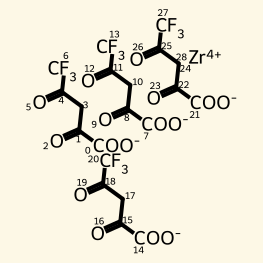 O=C([O-])C(=O)CC(=O)C(F)(F)F.O=C([O-])C(=O)CC(=O)C(F)(F)F.O=C([O-])C(=O)CC(=O)C(F)(F)F.O=C([O-])C(=O)CC(=O)C(F)(F)F.[Zr+4]